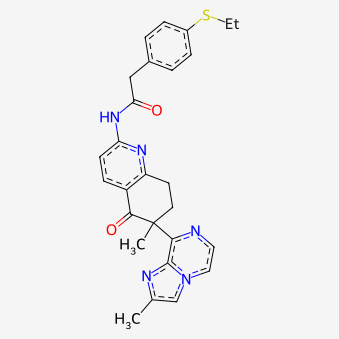 CCSc1ccc(CC(=O)Nc2ccc3c(n2)CCC(C)(c2nccn4cc(C)nc24)C3=O)cc1